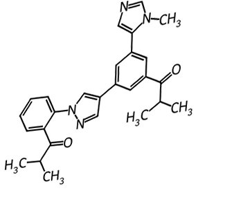 CC(C)C(=O)c1cc(-c2cnn(-c3ccccc3C(=O)C(C)C)c2)cc(-c2cncn2C)c1